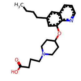 CCCCc1cc(OC2CCN(CCCC(=O)O)CC2)c2ncccc2c1